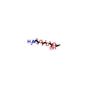 CCOC(O)COCCOCCN